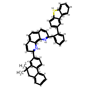 CC1(C)Cc2ccccc2-c2ccc(-c3ccc4ccc5ccc(-c6ccccc6-c6ccc7sc8ccccc8c7c6)nc5c4n3)cc21